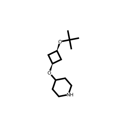 CC(C)(C)O[C@H]1C[C@@H](OC2CCNCC2)C1